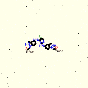 CNC(=O)CN1NCc2cc(Nc3ncc(F)c(Nc4ccc5c(c4)CNN5CC(=O)NC)n3)ccc21